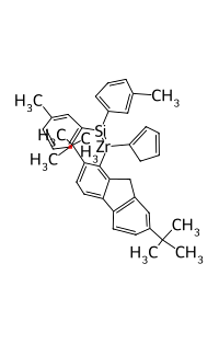 Cc1cccc([Si](c2cccc(C)c2)=[Zr]([C]2=CC=CC2)[c]2c(C(C)(C)C)ccc3c2Cc2cc(C(C)(C)C)ccc2-3)c1